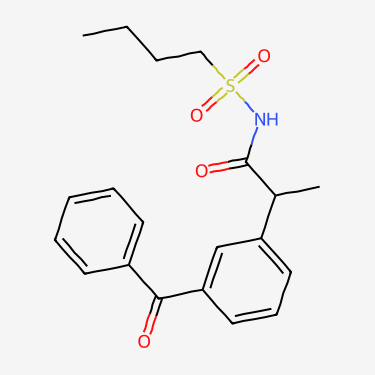 CCCCS(=O)(=O)NC(=O)C(C)c1cccc(C(=O)c2ccccc2)c1